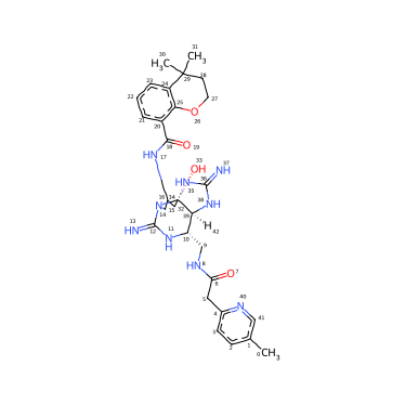 Cc1ccc(CC(=O)NC[C@@H]2NC(=N)N3CC(NC(=O)c4cccc5c4OCCC5(C)C)[C@@H](O)[C@@]34NC(=N)N[C@@H]24)nc1